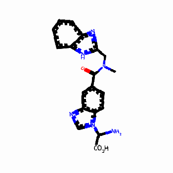 CN(Cc1nc2ccccc2[nH]1)C(=O)c1ccc2c(c1)ncn2C(N)C(=O)O